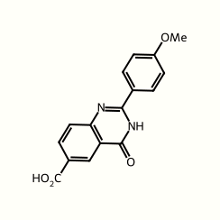 COc1ccc(-c2nc3ccc(C(=O)O)cc3c(=O)[nH]2)cc1